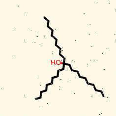 CCCCCCCCCCC(O)(CCCCCCCCCC)CCCCCCCCCC